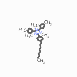 CCCCCCCCCc1ccc(-c2nc(-c3ccc(C)cc3C)nc(-c3ccc(C)cc3C)n2)c(C)c1